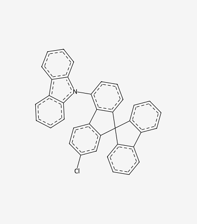 Clc1ccc2c(c1)C1(c3ccccc3-c3ccccc31)c1cccc(-n3c4ccccc4c4ccccc43)c1-2